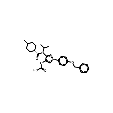 CC(C)N(c1nn(-c2ccc(OCc3ccccc3)cc2)cc1OC(=O)O)C(=O)[C@H]1CC[C@H](C)CC1